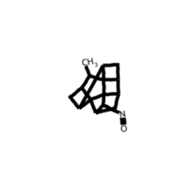 CC1C2CC3C4CC5C6CC7C(N=O)C6(C145)C237